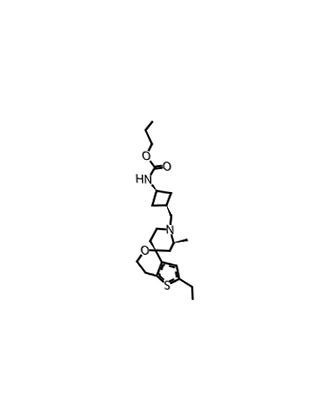 CCCOC(=O)N[C@H]1C[C@@H](CN2CC[C@]3(C[C@@H]2C)OCCc2sc(CC)cc23)C1